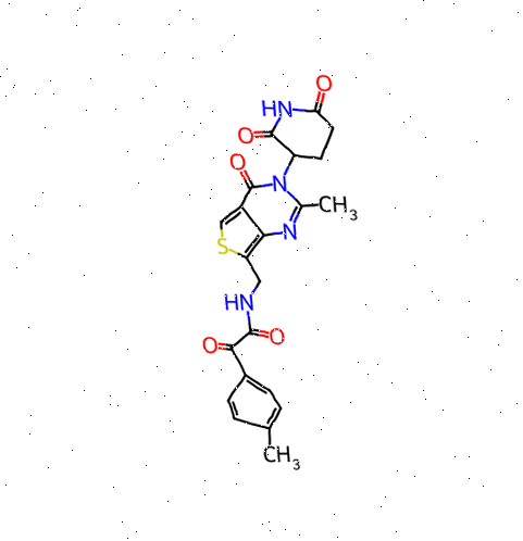 Cc1ccc(C(=O)C(=O)NCc2scc3c(=O)n(C4CCC(=O)NC4=O)c(C)nc23)cc1